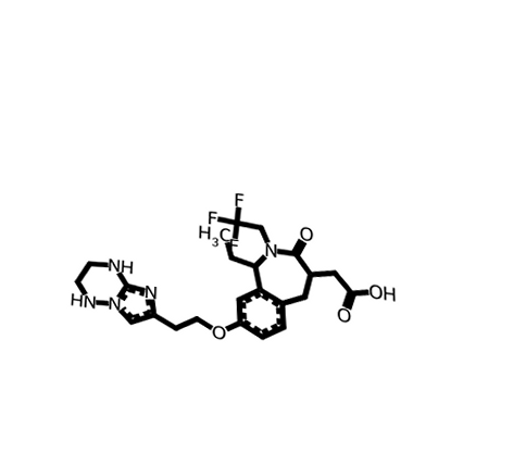 CCC1c2cc(OCCc3cn4c(n3)NCCN4)ccc2CC(CC(=O)O)C(=O)N1CC(F)(F)F